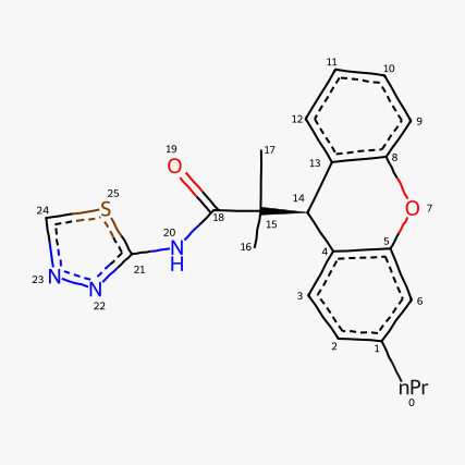 CCCc1ccc2c(c1)Oc1ccccc1[C@@H]2C(C)(C)C(=O)Nc1nncs1